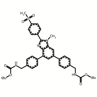 Cn1c(-c2ccc(S(C)(=O)=O)cc2)nc2c(-c3ccc(CNC(=O)OC(C)(C)C)cc3)cc(-c3ccc(CNC(=O)OC(C)(C)C)cc3)cc21